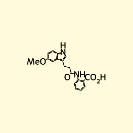 COc1ccc2[nH]cc(CCC(=O)Nc3ccccc3C(=O)O)c2c1